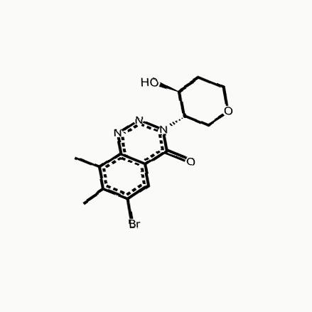 Cc1c(Br)cc2c(=O)n([C@H]3COCC[C@@H]3O)nnc2c1C